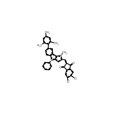 Cc1cc(C)c(-c2ccc3c(c2)c2c(cc(C=C4C(=O)c5cc(Cl)c(Cl)cc5C4=O)n2C)n3-c2ccccc2)c(C)c1